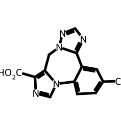 O=C(O)c1ncn2c1Cn1ncnc1-c1cc(Cl)ccc1-2